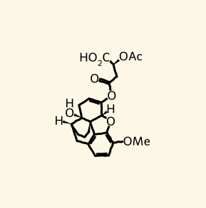 COc1ccc2c3c1O[C@H]1C(OC(=O)C[C@H](OC(C)=O)C(=O)O)=CC[C@@]4(O)[C@H](CCC[C@]314)C2